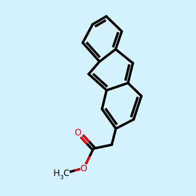 COC(=O)Cc1ccc2cc3ccccc3cc2c1